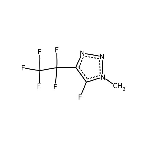 Cn1nnc(C(F)(F)C(F)(F)F)c1F